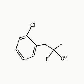 OC(F)(F)Cc1ccccc1Cl